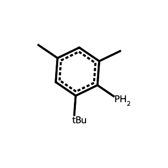 Cc1cc(C)c(P)c(C(C)(C)C)c1